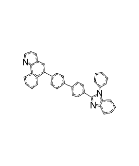 c1ccc(-n2c(-c3ccc(-c4ccc(-c5cc6cccnc6c6ccccc56)cc4)cc3)nc3ccccc32)cc1